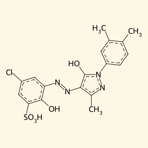 Cc1ccc(-n2nc(C)c(N=Nc3cc(Cl)cc(S(=O)(=O)O)c3O)c2O)cc1C